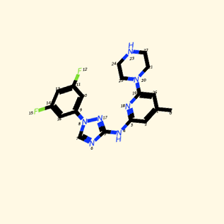 Cc1cc(Nc2ncn(-c3cc(F)cc(F)c3)n2)nc(N2CCNCC2)c1